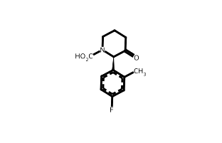 Cc1cc(F)ccc1[C@@H]1C(=O)CCCN1C(=O)O